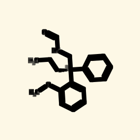 CCC[C@](CNC=O)(c1ccccc1)c1ccccc1OC